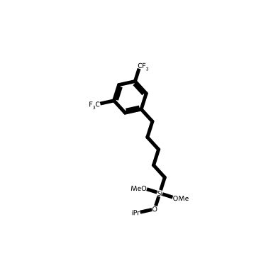 CO[Si](CCCCCc1cc(C(F)(F)F)cc(C(F)(F)F)c1)(OC)OC(C)C